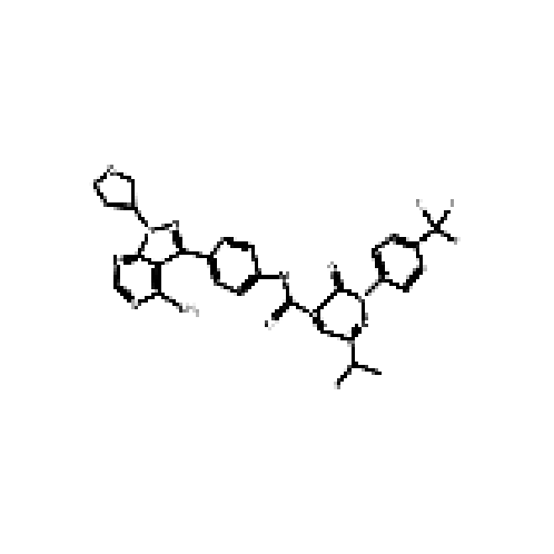 CC(C)c1cc(C(=O)Nc2ccc(-c3nn(C4CCOC4)c4ncnc(N)c34)cc2)c(=O)n(-c2ccc(C(F)(F)F)cc2)n1